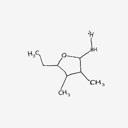 [2H]BC1OC(CC)C(C)C1C